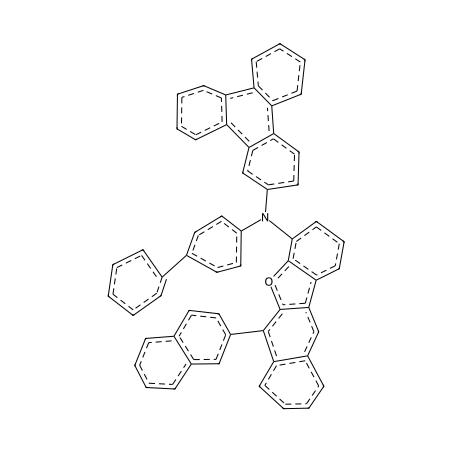 c1ccc(-c2ccc(N(c3ccc4c5ccccc5c5ccccc5c4c3)c3cccc4c3oc3c(-c5ccc6ccccc6c5)c5ccccc5cc34)cc2)cc1